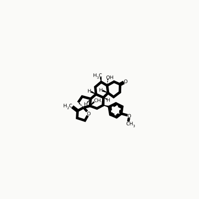 C=C1CCO[C@@]12CC[C@H]1[C@@H]3C[C@@H](C)[C@@]4(O)CC(=O)CC[C@@H]4[C@H]3[C@@H](c3ccc(OC)cc3)C[C@@]12C